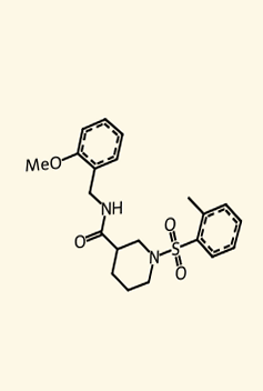 COc1ccccc1CNC(=O)C1CCCN(S(=O)(=O)c2ccccc2C)C1